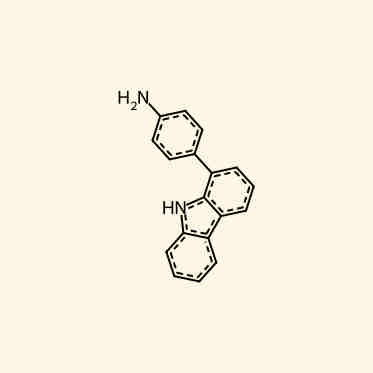 Nc1ccc(-c2cccc3c2[nH]c2ccccc23)cc1